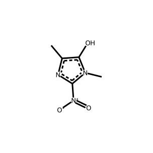 Cc1nc([N+](=O)[O-])n(C)c1O